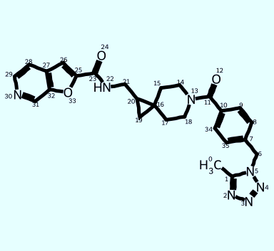 Cc1nnnn1Cc1ccc(C(=O)N2CCC3(CC2)CC3CNC(=O)c2cc3ccncc3o2)cc1